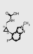 Cn1cc2c([C@H]3C[C@@H]3CNC(=O)O)c(F)ccc2n1